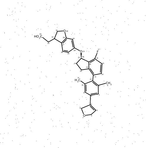 Cc1cc(C2=CCOC2)cc(C)c1-c1ccc(F)c2c1CC[C@H]2Oc1ccc2c(c1)OCC2CC(=O)O